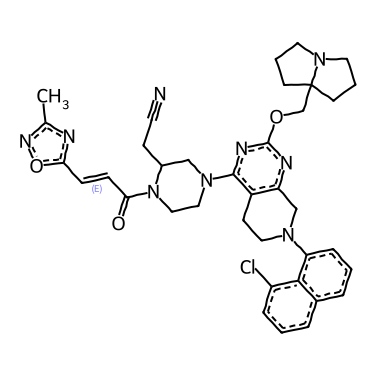 Cc1noc(/C=C/C(=O)N2CCN(c3nc(OCC45CCCN4CCC5)nc4c3CCN(c3cccc5cccc(Cl)c35)C4)CC2CC#N)n1